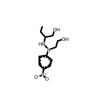 CCC(CO)NN(CCO)c1ccc([N+](=O)[O-])cc1